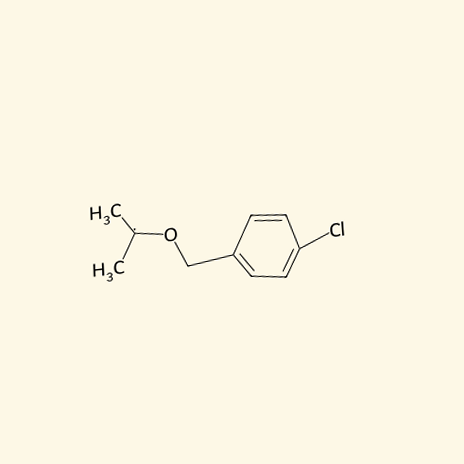 C[C](C)OCc1ccc(Cl)cc1